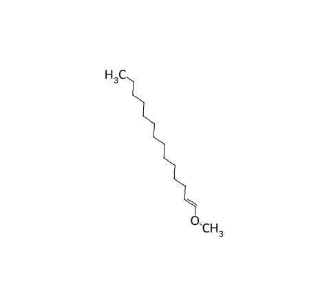 CCCCCCCCCCCCC=COC